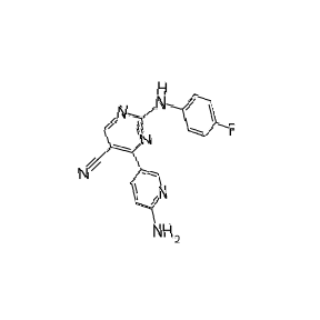 N#Cc1cnc(Nc2ccc(F)cc2)nc1-c1ccc(N)nc1